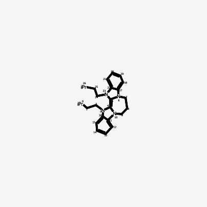 CC(C)CCN1C2=C3N(CCCN2c2ccccc21)c1ccccc1N3CCC(C)C